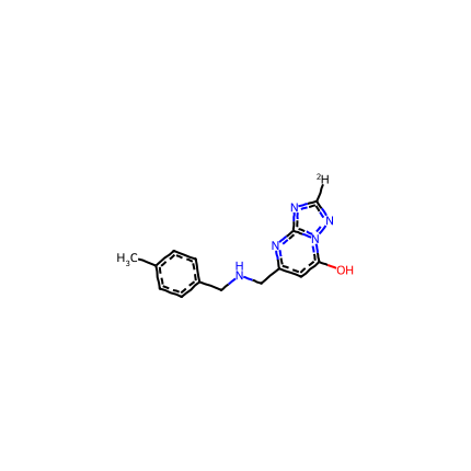 [2H]c1nc2nc(CNCc3ccc(C)cc3)cc(O)n2n1